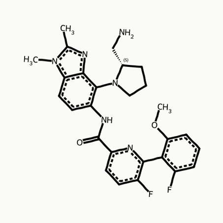 COc1cccc(F)c1-c1nc(C(=O)Nc2ccc3c(nc(C)n3C)c2N2CCC[C@H]2CN)ccc1F